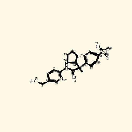 CC(C(=O)Nc1ccc(CO)cn1)(c1ccc(S(C)(=O)=O)cc1)C1CCCC1